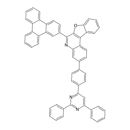 c1ccc(-c2cc(-c3ccc(-c4ccc5c(c4)nc(-c4ccc6c7ccccc7c7ccccc7c6c4)c4oc6ccccc6c45)cc3)nc(-c3ccccc3)n2)cc1